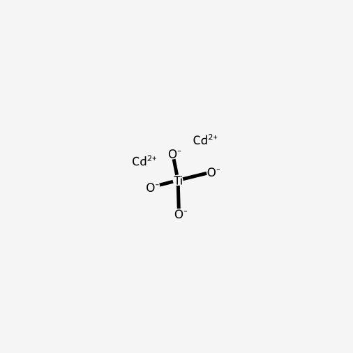 [Cd+2].[Cd+2].[O-][Ti]([O-])([O-])[O-]